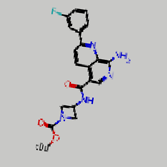 CC(C)(C)OC(=O)N1CC(NC(=O)c2cnc(N)c3nc(-c4cccc(F)c4)ccc23)C1